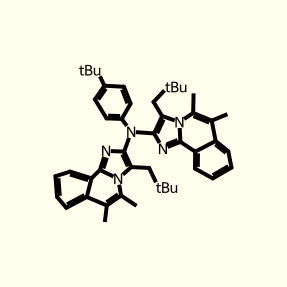 Cc1c(C)n2c(CC(C)(C)C)c(N(c3ccc(C(C)(C)C)cc3)c3nc4c5ccccc5c(C)c(C)n4c3CC(C)(C)C)nc2c2ccccc12